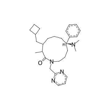 CC1C(=O)N(Cc2ncccn2)CCC[C@](c2ccccc2)(N(C)C)CCCC1CC1CCC1